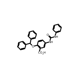 O=C(Nc1ccccc1)Nc1ccc(OC(c2ccccc2)c2ccccc2)c(C(=O)O)c1